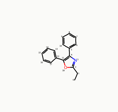 CCc1nc(-c2ccccc2)c(-c2ccccc2)o1